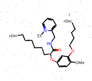 CCCCCCCCCCCCCCCCC(Oc1ccc(OC)c(OCCCCCCCCCCCCCC)c1)C(=O)NCc1cccc[n+]1CC.[I-]